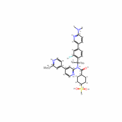 [2H]C([2H])(c1ccc(-c2ccc(N(C)C)nc2)cc1F)N(C(=O)C1CCC(S(C)(=O)=O)CC1)c1cc(-c2ccnc(OC)c2)ccn1